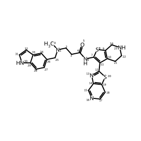 CN(CCC(=O)Nc1sc2c(c1-c1nc3cnccc3s1)CCNC2)Cc1ccc2[nH]ccc2c1